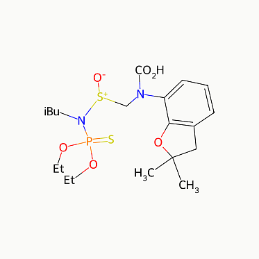 CCOP(=S)(OCC)N(C(C)CC)[S+]([O-])CN(C(=O)O)c1cccc2c1OC(C)(C)C2